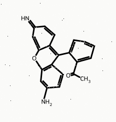 CC(=O)c1ccccc1-c1c2ccc(=N)cc-2oc2cc(N)ccc12